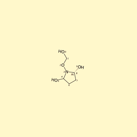 OCON1C(O)CC[C@H]1O